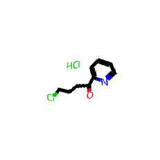 Cl.O=C(CCCCl)c1ccccn1